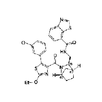 CCOc1nc(C(=O)N2[C@H]3CC[C@@H](C3)[C@@H]2CNC(=O)c2cccc3ncsc23)c(-c2cccc(Cl)c2)s1